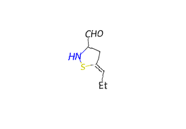 CCC=C1CC(C=O)NS1